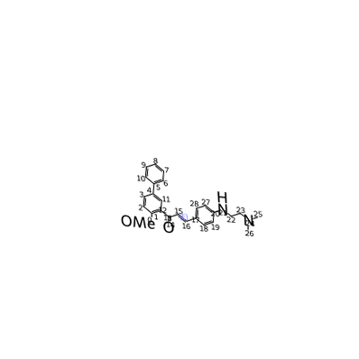 COc1ccc(-c2ccccc2)cc1C(=O)/C=C/c1ccc(NCCN(C)C)cc1